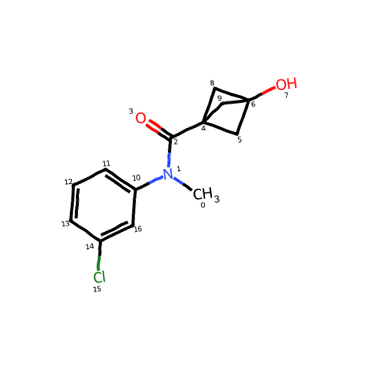 CN(C(=O)C12CC(O)(C1)C2)c1cccc(Cl)c1